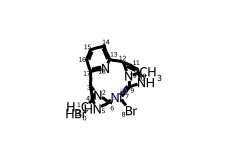 Br.CN1C2=CN/[C]1=[Ni](\[Br])=[C]1\NC=C(c3cccc2n3)N1C